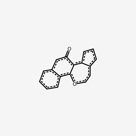 O=c1cc2ccccc2c2occc3cccc-3c1-2